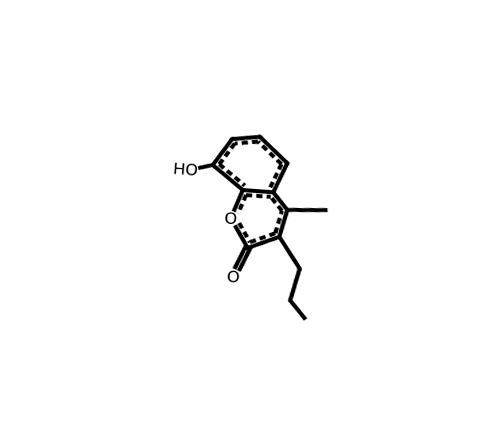 CCCc1c(C)c2cccc(O)c2oc1=O